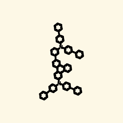 c1ccc(-c2ccc(N(c3ccc(-c4ccccc4)cc3)c3cccc(-c4ccc5c6ccc(N(c7ccc(-c8ccccc8)cc7)c7ccc(-c8ccccc8)cc7)cc6c6ccccc6c5c4)c3)cc2)cc1